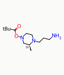 C[C@H]1CN(OC(=O)C(C)(C)C)CCN1CCCN